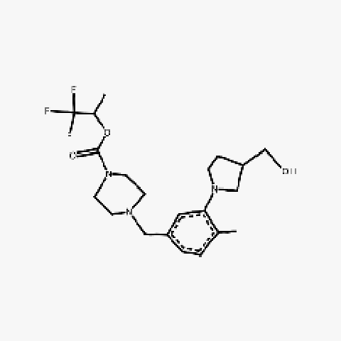 Cc1ccc(CN2CCN(C(=O)OC(C)C(F)(F)F)CC2)cc1N1CCC(CO)C1